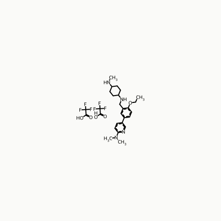 CCOc1ccc(-c2ccc(N(C)C)nc2)cc1CNC1CCC(NC)CC1.O=C(O)C(F)(F)F.O=C(O)C(F)(F)F